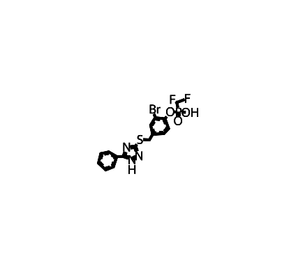 O=P(O)(Oc1ccc(CSc2n[nH]c(-c3ccccc3)n2)cc1Br)C(F)F